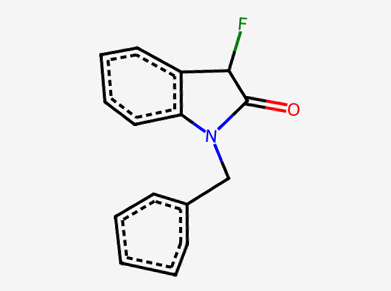 O=C1C(F)c2ccccc2N1Cc1ccccc1